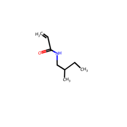 C=CC(=O)NCC(C)CC